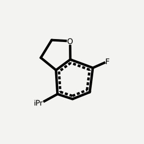 CC(C)c1ccc(F)c2c1CCO2